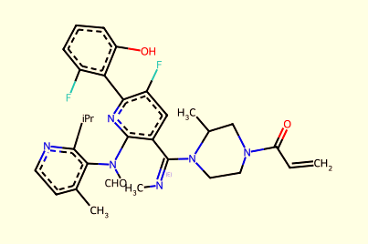 C=CC(=O)N1CCN(/C(=N/C)c2cc(F)c(-c3c(O)cccc3F)nc2N(C=O)c2c(C)ccnc2C(C)C)C(C)C1